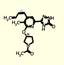 C=C/C=C\c1cc(-c2n[nH]c(=O)[nH]2)nc(O[C@H]2CCN(C(C)=O)C2)c1C